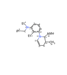 CCc1c(N(CC)CC(C)C)cccc1N1C=CCC(C)C1NC